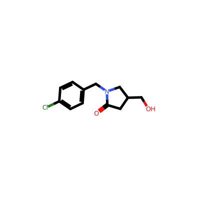 O=C1CC(CO)CN1Cc1ccc(Cl)cc1